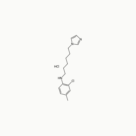 Cc1ccc(NCCCCCCn2ccnc2)c(Cl)c1.Cl